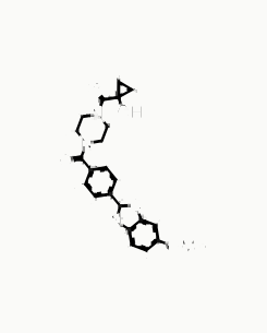 COc1ccc2c(c1)OC(c1ccc(C(=O)N3CCN(C(=O)C4(O)CC4)CC3)cc1)N2